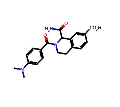 CN(C)c1ccc(C(=O)N2CCc3ccc(C(=O)O)cc3C2C(N)=O)cc1